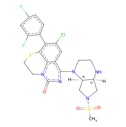 CS(=O)(=O)N1C[C@@H]2NCCN(c3nc(=O)n4c5c(c(-c6ccc(F)cc6F)c(Cl)cc35)SCC4)[C@@H]2C1